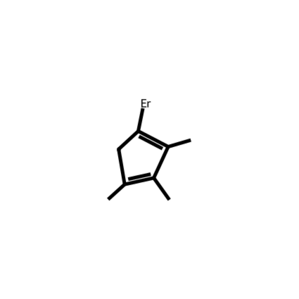 CC1=C(C)C(C)=[C]([Er])C1